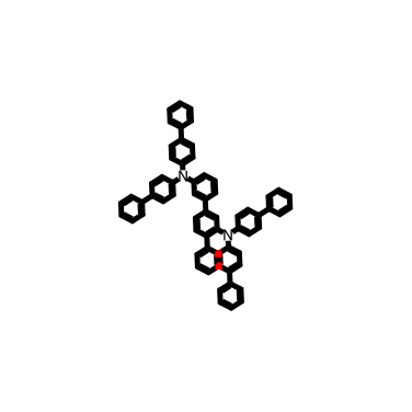 c1ccc(-c2ccc(N(c3ccc(-c4ccccc4)cc3)c3cccc(-c4ccc(-c5ccccc5)c(N(c5ccc(-c6ccccc6)cc5)c5ccc(-c6ccccc6)cc5)c4)c3)cc2)cc1